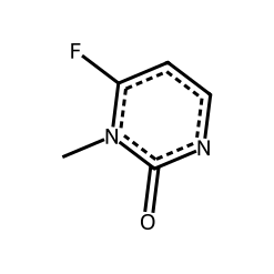 Cn1c(F)ccnc1=O